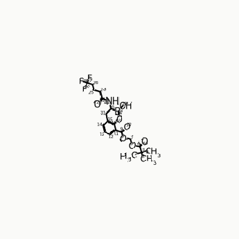 CC(C)(C)C(=O)OCOC(=O)c1cccc2c1OB(O)C(NC(=O)CCCC(F)(F)F)C2